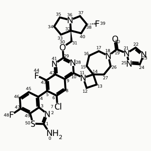 Nc1nc2c(-c3c(Cl)cc4c(N5CCC56CCCN(C(=O)n5cncn5)CC6)nc(OC[C@@]56CCCN5C[C@H](F)C6)nc4c3F)ccc(F)c2s1